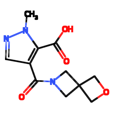 Cn1ncc(C(=O)N2CC3(COC3)C2)c1C(=O)O